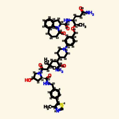 Cc1ncsc1-c1ccc(CNC(=O)[C@@H]2C[C@@H](O)CN2C(=O)CC(C)(C)CC(C(N)=O)C2CCN(c3ccc(CO[C@H](C)[C@H](CCC(N)=O)NC(=O)[C@@H]4Cc5cccc6c5N4C(=O)CCC6)cc3)CC2)cc1